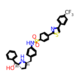 O=S(=O)(Nc1ccc(C[C@H]2CC[C@H]([C@H](O)c3ccccc3)N2)cc1)C1C=CC(c2nc(-c3ccc(C(F)(F)F)cc3)cs2)=CC1